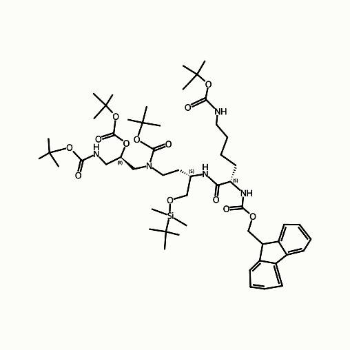 CC(C)(C)OC(=O)NCCCC[C@H](NC(=O)OCC1c2ccccc2-c2ccccc21)C(=O)N[C@@H](CCN(C[C@@H](CNC(=O)OC(C)(C)C)OC(=O)OC(C)(C)C)C(=O)OC(C)(C)C)CO[Si](C)(C)C(C)(C)C